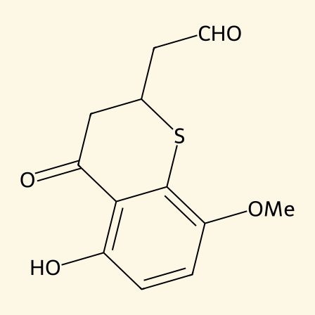 COc1ccc(O)c2c1SC(CC=O)CC2=O